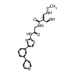 CSN/C=C(\C=N)C(=O)NCC(=O)Nc1nc(-c2cccc(-c3ccncc3)c2)cs1